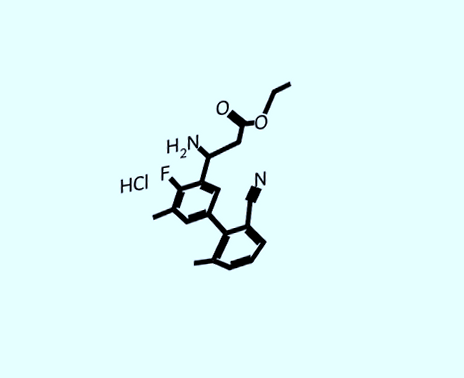 CCOC(=O)CC(N)c1cc(-c2c(C)cccc2C#N)cc(C)c1F.Cl